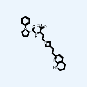 O=C(O)C(CCN1CC(CCc2ccc3c(n2)NCCC3)C1)NC(=O)[C@@H]1CCCN1c1ccccc1